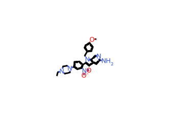 CCN1CCN(c2ccc(-c3cc4cc(N)ncc4n3Cc3ccc(OC)cc3)c([N+](=O)[O-])c2)CC1